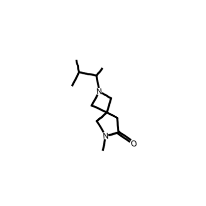 CC(C)C(C)N1CC2(CC(=O)N(C)C2)C1